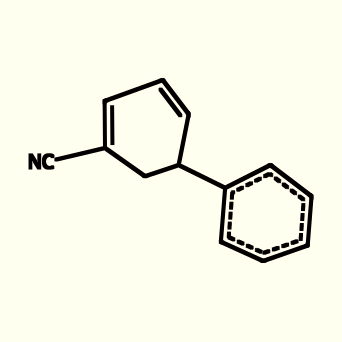 N#CC1=CC=CC(c2ccccc2)C1